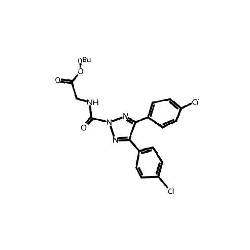 CCCCOC(=O)CNC(=O)n1nc(-c2ccc(Cl)cc2)c(-c2ccc(Cl)cc2)n1